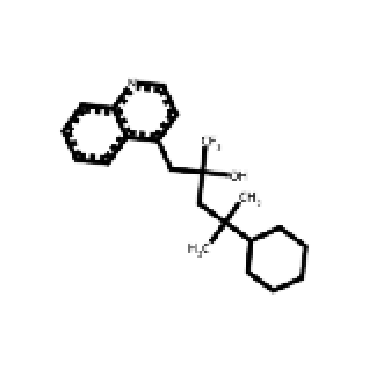 CC(C)(CC(O)(Cc1ccnc2ccccc12)C(F)(F)F)C1CCCCC1